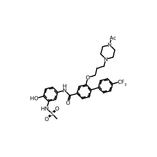 CC(=O)N1CCN(CCCOc2cc(C(=O)Nc3ccc(O)c(NS(C)(=O)=O)c3)ccc2-c2ccc(C(F)(F)F)cc2)CC1